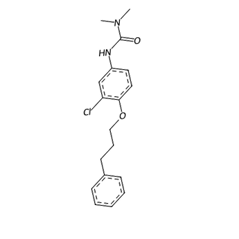 CN(C)C(=O)Nc1ccc(OCCCc2ccccc2)c(Cl)c1